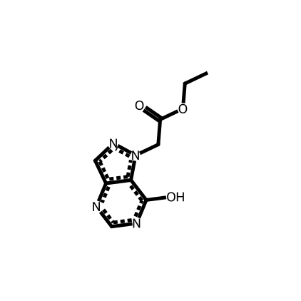 CCOC(=O)Cn1ncc2ncnc(O)c21